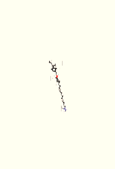 CCC(CCC=O)N1C(=O)C=C(COCC(O)NCCOCCOCCOCCOCCOC/C(F)=C/F)C1=O